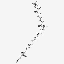 C=CCOC(=O)NCCCOCCOCCOCCCN(C)C(=O)CCCCCNC(=O)OC(C)(C)C